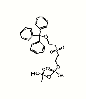 CP(=O)(O)OP(=O)(O)OCCS(=O)(=O)CCOC(c1ccccc1)(c1ccccc1)c1ccccc1